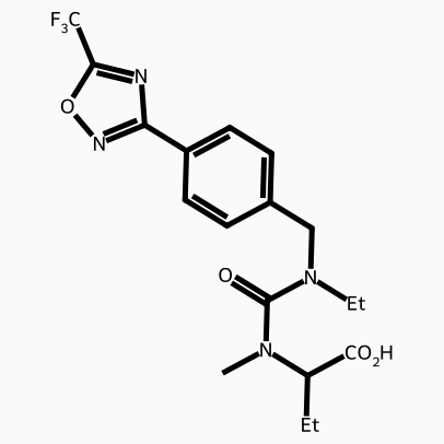 CCC(C(=O)O)N(C)C(=O)N(CC)Cc1ccc(-c2noc(C(F)(F)F)n2)cc1